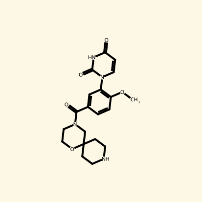 COc1ccc(C(=O)N2CCOC3(CCNCC3)C2)cc1-n1ccc(=O)[nH]c1=O